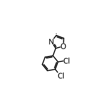 Clc1cccc(-c2n[c]co2)c1Cl